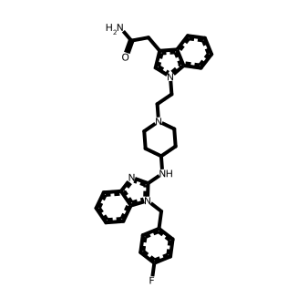 NC(=O)Cc1cn(CCN2CCC(Nc3nc4ccccc4n3Cc3ccc(F)cc3)CC2)c2ccccc12